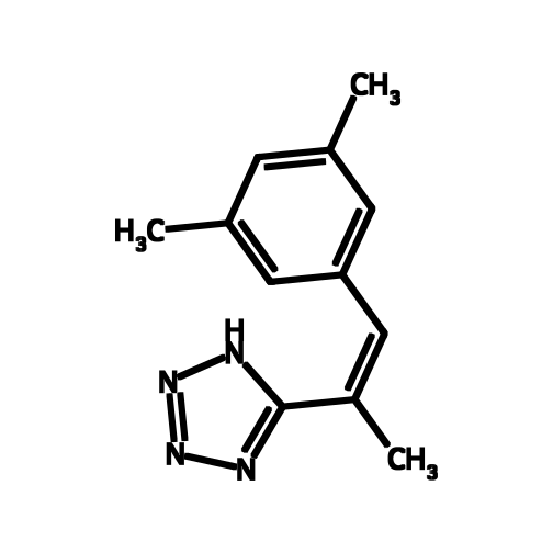 CC(=Cc1cc(C)cc(C)c1)c1nnn[nH]1